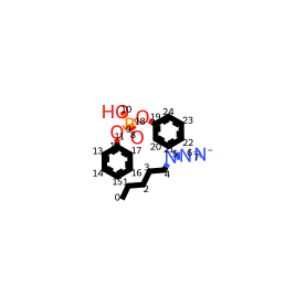 CCCCCN=[N+]=[N-].O=P(O)(Oc1ccccc1)Oc1ccccc1